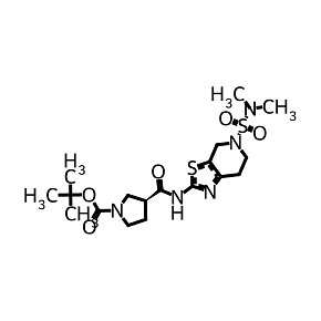 CN(C)S(=O)(=O)N1CCc2nc(NC(=O)[C@H]3CCN(C(=O)OC(C)(C)C)C3)sc2C1